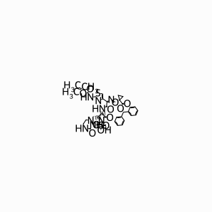 CC(C)(C)OC(=O)Nc1nc(C(=NOC2(C(=O)OC(c3ccccc3)c3ccccc3)CC2)C(=O)N[C@@H]2C(=O)N(S(=O)(=O)O)[C@@H]2CN2CCNC(=O)N2)cs1